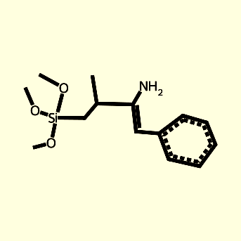 CO[Si](CC(C)C(N)=Cc1ccccc1)(OC)OC